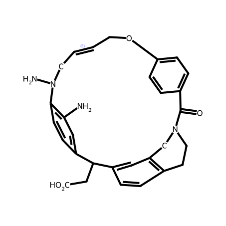 Nc1cc2ccc1N(N)C/C=C/COc1ccc(cc1)C(=O)N1CCc3ccc(cc3C1)C2CC(=O)O